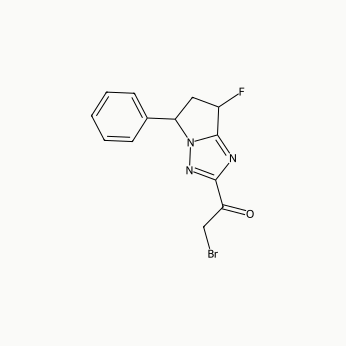 O=C(CBr)c1nc2n(n1)C(c1ccccc1)CC2F